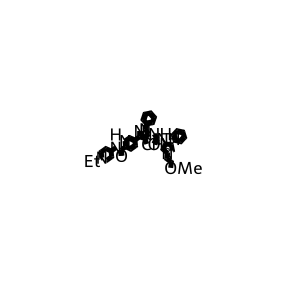 CCN1CCC(NC(=O)c2ccc(-c3nn(-c4ccccc4)c(NC(=O)N[C@@H]4CN(CCOC)C[C@H]4c4ccccc4)c3C)cn2)CC1